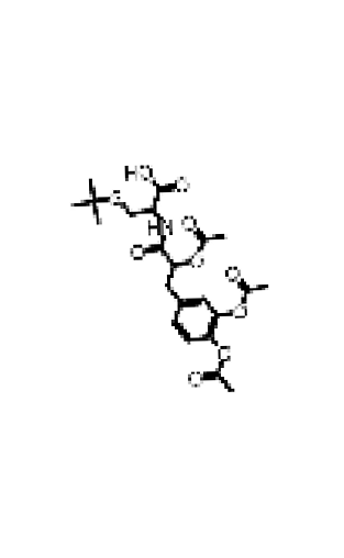 CC(=O)Oc1ccc(CC(OC(C)=O)C(=O)NC(CSC(C)(C)C)C(=O)O)cc1OC(C)=O